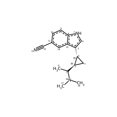 CC([C@@H]1C[C@H]1c1c[nH]c2ccc(C#N)cc12)N(C)C